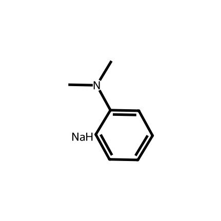 CN(C)c1ccccc1.[NaH]